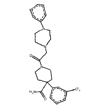 NC(=O)C1(c2cccc(C(F)(F)F)c2)CCN(C(=O)CN2CCN(c3ccccc3)CC2)CC1